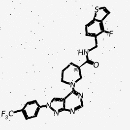 O=C(NCc1ccc2sccc2c1F)[C@@H]1CCCN(c2ncnc3nn(-c4ccc(C(F)(F)F)cc4)cc23)C1